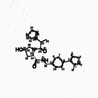 Cc1ncsc1-c1ccc(CNC(=O)[C@@H]2C[C@@H](O)CN2C(=O)C(C)n2cncn2)cc1